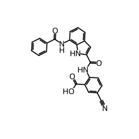 N#Cc1ccc(NC(=O)c2cc3cccc(NC(=O)c4ccccc4)c3[nH]2)c(C(=O)O)c1